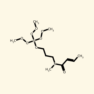 CC=CC(=O)N(C)CCCO[Si](OOC)(OOC)OOC